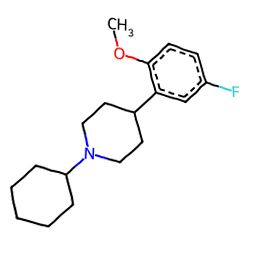 COc1ccc(F)cc1C1CCN(C2CCCCC2)CC1